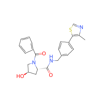 Cc1ncsc1-c1ccc(CNC(=O)[C@@H]2C[C@@H](O)CN2C(=O)c2ccccc2)cc1